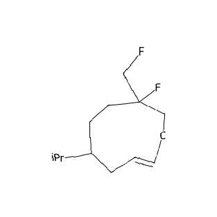 CC(C)C1C/C=C/CCC(F)(CF)CC1